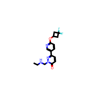 CCNCn1nc(-c2ccc(OC3CC(F)(F)C3)nc2)ccc1=O